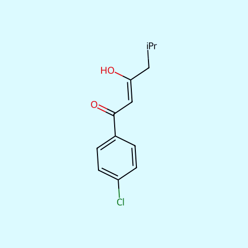 CC(C)C/C(O)=C/C(=O)c1ccc(Cl)cc1